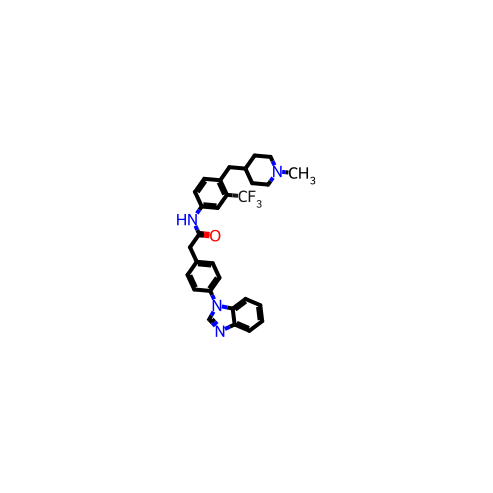 CN1CCC(Cc2ccc(NC(=O)Cc3ccc(-n4cnc5ccccc54)cc3)cc2C(F)(F)F)CC1